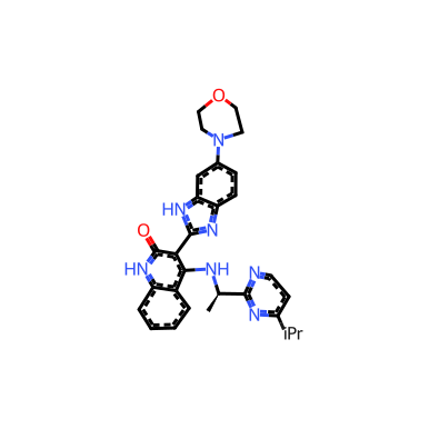 CC(C)c1ccnc([C@@H](C)Nc2c(-c3nc4ccc(N5CCOCC5)cc4[nH]3)c(=O)[nH]c3ccccc23)n1